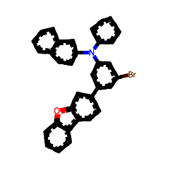 Brc1cc(-c2ccc3c(c2)oc2ccccc23)cc(N(c2ccccc2)c2ccc3ccccc3c2)c1